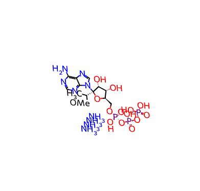 COC(C)[C@@]1(n2cnc3c(N)ncnc32)O[C@H](COP(=O)(O)OP(=O)(O)OP(=O)(O)O)[C@@H](O)[C@H]1O.N.N.N.N